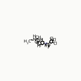 C=CCNC(=O)[C@@H](C)NC(=O)c1ccc(/C(F)=C/C(c2cc(Cl)c(Cl)c(Cl)c2)C(F)(F)F)cc1C(F)(F)F